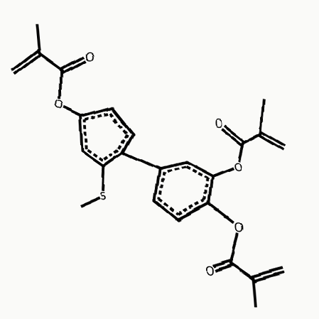 C=C(C)C(=O)Oc1ccc(-c2ccc(OC(=O)C(=C)C)c(OC(=O)C(=C)C)c2)c(SC)c1